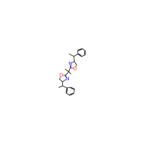 CC(c1ccccc1)C1COC(C(C)(C)C2=NC(C(C)c3ccccc3)CO2)=N1